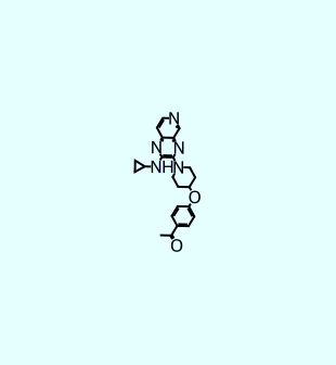 CC(=O)c1ccc(OC2CCN(c3nc4cnccc4nc3NC3CC3)CC2)cc1